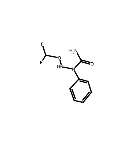 NC(=O)N(NOC(F)F)c1ccccc1